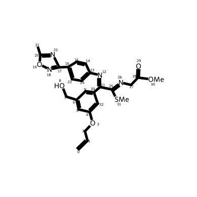 C=CCOc1cc(CO)cc(C(=N\c2ccc(-c3noc(C)n3)cc2)/C(=N/CC(=O)OC)SC)c1